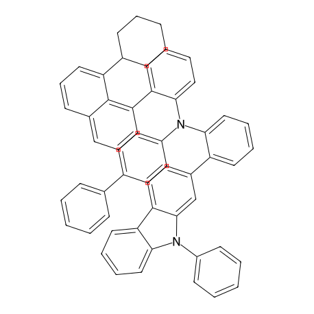 c1ccc(-c2ccc(N(c3ccccc3-c3ccc4c5ccccc5n(-c5ccccc5)c4c3)c3ccccc3-c3cccc4cccc(C5CCCCC5)c34)cc2)cc1